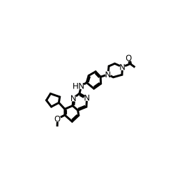 COc1ccc2cnc(Nc3ccc(N4CCN(C(C)=O)CC4)cc3)nc2c1C1CCCC1